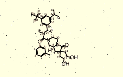 Cc1ccccc1[C@H]1[C@@H]2CC(CCO)(CCO)C(=O)N2CCN1C(=O)N(C)[C@H](C)c1cc(C(C)C)cc(C(F)(F)F)c1